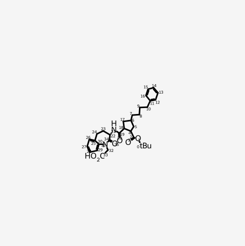 CC(C)(C)OC(=O)C1CC(CCCCc2ccccc2)CC1C(=O)N[C@@H]1CCc2ccccc2N(CC(=O)O)C1=O